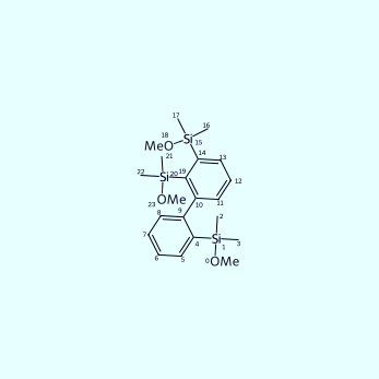 CO[Si](C)(C)c1ccccc1-c1cccc([Si](C)(C)OC)c1[Si](C)(C)OC